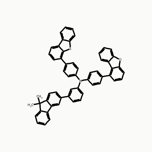 CC1(C)c2ccccc2-c2cc(-c3cccc(N(c4ccc(-c5cccc6c5sc5ccccc56)cc4)c4ccc(-c5cccc6oc7ccccc7c56)cc4)c3)ccc21